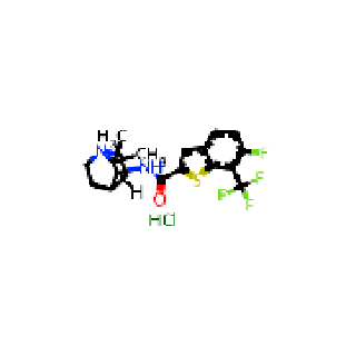 CC1(C)[C@H](NC(=O)c2cc3ccc(F)c(C(F)(F)F)c3s2)C2CCN1CC2.Cl